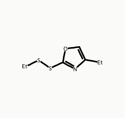 CCSSc1nc(CC)co1